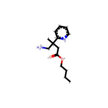 CCCCOC(=O)CC(C)(CN)c1ccccn1